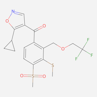 CSc1c(S(C)(=O)=O)ccc(C(=O)c2cnoc2C2CC2)c1COCC(F)(F)F